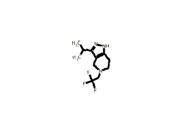 CC(C)c1n[nH]c2c1CN(CC(F)(F)F)CC2